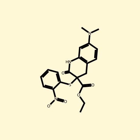 CCOC(=O)C1(Sc2ccccc2[N+](=O)[O-])Cc2ccc(N(C)C)cc2NC1=O